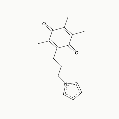 CC1=C(C)C(=O)C(CCCn2cccc2)=C(C)C1=O